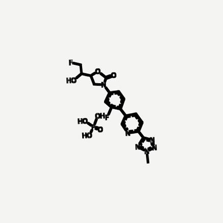 Cn1nnc(-c2ccc(-c3ccc(N4CC(C(O)CF)OC4=O)cc3F)cn2)n1.O=P(O)(O)O